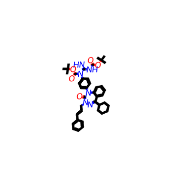 CC(C)(C)OC(=O)NC(=N)N(C(=O)OC(C)(C)C)c1ccc(N2C(=O)N(CC=Cc3ccccc3)N=C(C3CCCCC3)c3ccccc32)cc1